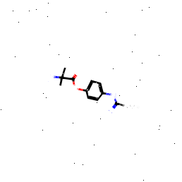 CNC(=N)Nc1ccc(OC(=O)C(C)(C)N)cc1